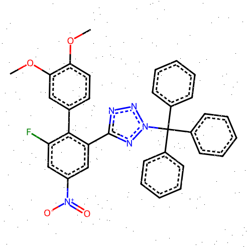 COc1ccc(-c2c(F)cc([N+](=O)[O-])cc2-c2nnn(C(c3ccccc3)(c3ccccc3)c3ccccc3)n2)cc1OC